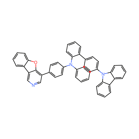 c1ccc(N(c2ccc(-c3cncc4c3oc3ccccc34)cc2)c2ccccc2-c2ccc(-n3c4ccccc4c4ccccc43)cc2)cc1